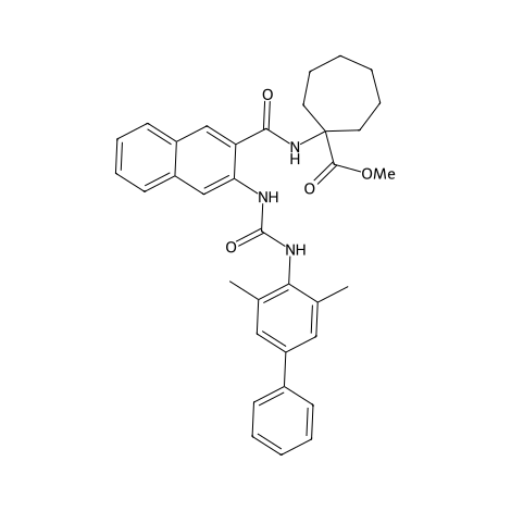 COC(=O)C1(NC(=O)c2cc3ccccc3cc2NC(=O)Nc2c(C)cc(-c3ccccc3)cc2C)CCCCCC1